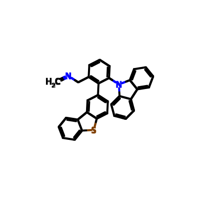 C=NCc1cccc(-n2c3ccccc3c3ccccc32)c1-c1ccc2sc3ccccc3c2c1